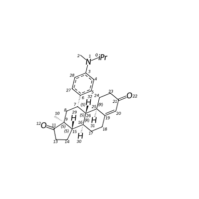 CC(C)N(C)c1ccc([C@H]2C[C@]3(C)C(=O)CC[C@H]3[C@@H]3CCC4=CC(=O)CC[C@@H]4[C@H]32)cc1